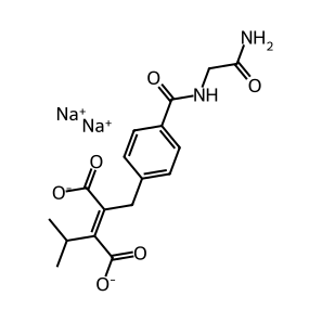 CC(C)C(C(=O)[O-])=C(Cc1ccc(C(=O)NCC(N)=O)cc1)C(=O)[O-].[Na+].[Na+]